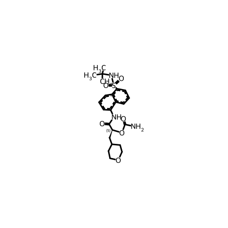 CC(C)(C)NS(=O)(=O)c1cccc2c(NC(=O)[C@H](CC3CCOCC3)OC(N)=O)cccc12